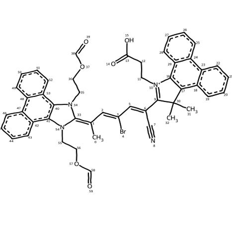 CC(/C=C(Br)/C=C(\C#N)C1=[N+](CCC(=O)O)c2c(c3ccccc3c3ccccc23)C1(C)C)=C1N(CCOC=O)c2c(c3ccccc3c3ccccc23)N1CCOC=O